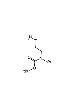 CCCN(CCON)C(=O)OC(C)(C)C